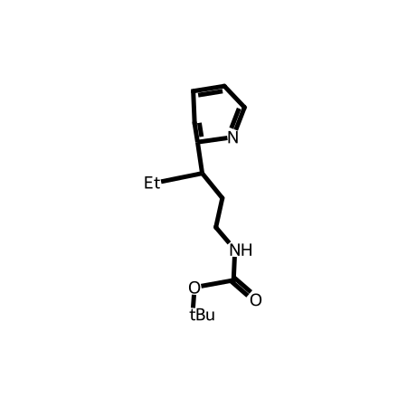 CCC(CCNC(=O)OC(C)(C)C)c1ccccn1